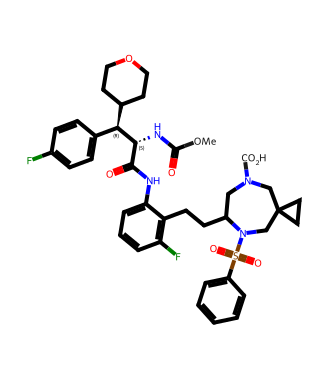 COC(=O)N[C@H](C(=O)Nc1cccc(F)c1CCC1CN(C(=O)O)CC2(CC2)CN1S(=O)(=O)c1ccccc1)[C@@H](c1ccc(F)cc1)C1CCOCC1